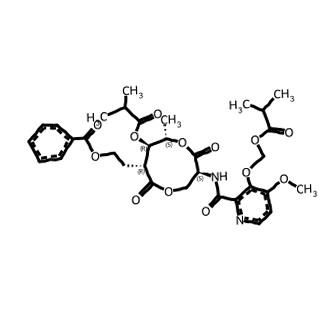 COc1ccnc(C(=O)N[C@H]2COC(=O)[C@H](CCOC(=O)c3ccccc3)[C@@H](OC(=O)C(C)C)[C@H](C)OC2=O)c1OCOC(=O)C(C)C